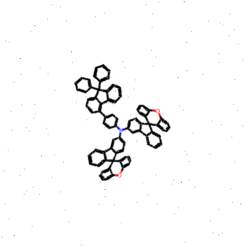 c1ccc(C2(c3ccccc3)c3ccccc3-c3c(-c4ccc(N(c5ccc6c(c5)-c5ccccc5C65c6ccccc6Oc6ccccc65)c5ccc6c(c5)-c5ccccc5C65c6ccccc6Oc6ccccc65)cc4)cccc32)cc1